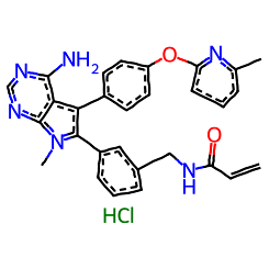 C=CC(=O)NCc1cccc(-c2c(-c3ccc(Oc4cccc(C)n4)cc3)c3c(N)ncnc3n2C)c1.Cl